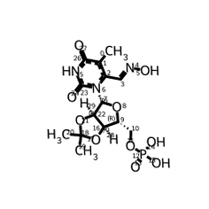 Cc1c(C=NO)n([C@@H]2O[C@H](COP(=O)(O)O)[C@H]3OC(C)(C)O[C@H]32)c(=O)[nH]c1=O